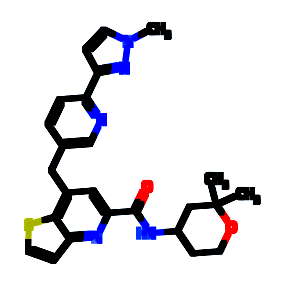 Cn1ccc(-c2ccc(Cc3cc(C(=O)NC4CCOC(C)(C)C4)nc4ccsc34)cn2)n1